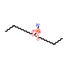 CCCCCC/C=C\CCCCCCCCCCCC(=O)O[C@H](COC(=O)CCCCCCCCC/C=C\CCCCCC)COP(=O)(O)OCC[N+](C)(C)C